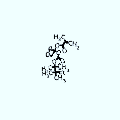 C=C(C)C(=O)OC1(OC(=O)OC(C)(C)C(C)(C)CC)COO1